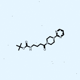 CC(C)(C)OC(=O)NCCCC(=O)N1CCN(c2ncccn2)CC1